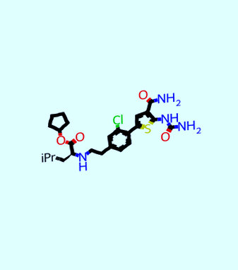 CC(C)C[C@H](NCCc1ccc(-c2cc(C(N)=O)c(NC(N)=O)s2)c(Cl)c1)C(=O)OC1CCCC1